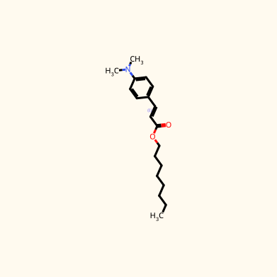 CCCCCCCCOC(=O)/C=C/c1ccc(N(C)C)cc1